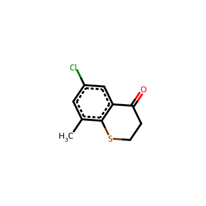 Cc1cc(Cl)cc2c1SCCC2=O